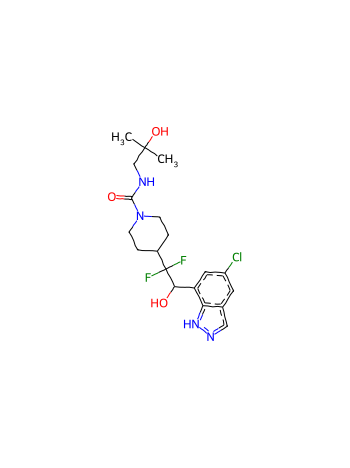 CC(C)(O)CNC(=O)N1CCC(C(F)(F)C(O)c2cc(Cl)cc3cn[nH]c23)CC1